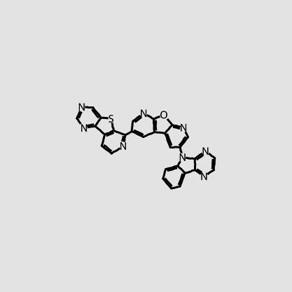 c1ccc2c(c1)c1nccnc1n2-c1cnc2oc3ncc(-c4nccc5c4sc4cncnc45)cc3c2c1